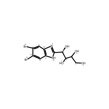 OCC(O)C(O)[C@H](O)c1nc2cc(Br)c(Br)cc2[nH]1